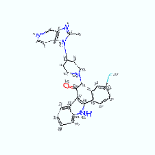 Cc1nc2cnccc2n1C1CCN(CC(=O)c2c(-c3ccc(F)cc3)[nH]c3ccccc23)CC1